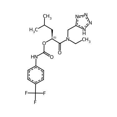 CCN(Cc1nnn[nH]1)C(=O)[C@H](CC(C)C)OC(=O)Nc1ccc(C(F)(F)F)cc1